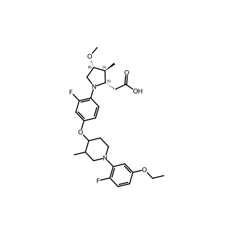 CCOc1ccc(F)c(N2CCC(Oc3ccc(N4C[C@H](OC)[C@@H](C)[C@@H]4CC(=O)O)c(F)c3)C(C)C2)c1